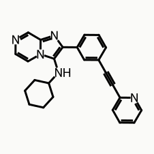 C(#Cc1ccccn1)c1cccc(-c2nc3cnccn3c2NC2CCCCC2)c1